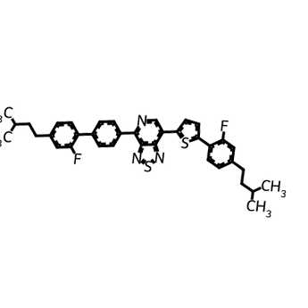 CC(C)CCc1ccc(-c2ccc(-c3ncc(-c4ccc(-c5ccc(CCC(C)C)cc5F)s4)c4nsnc34)cc2)c(F)c1